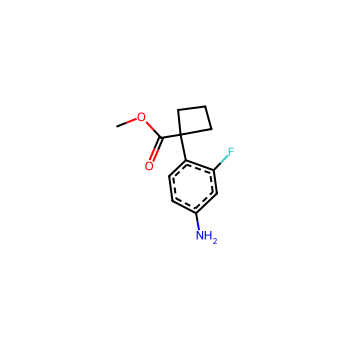 COC(=O)C1(c2ccc(N)cc2F)CCC1